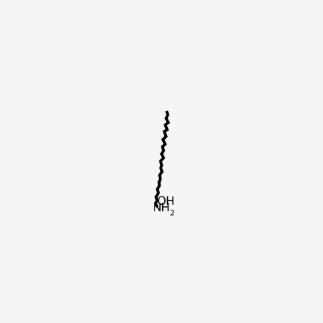 CCCCCCCCCCCCCCCCCCCCCCCCCC(O)CN